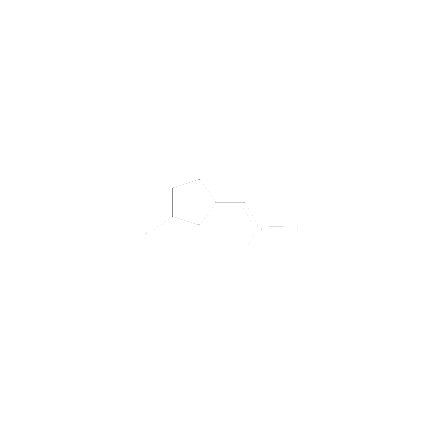 C[N+](C)=CC1CCC(C(C)(C)C)C1